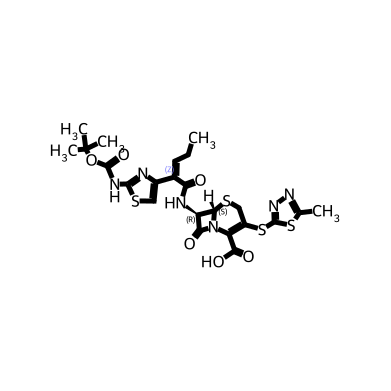 CC/C=C(\C(=O)N[C@@H]1C(=O)N2C(C(=O)O)=C(Sc3nnc(C)s3)CS[C@@H]12)c1csc(NC(=O)OC(C)(C)C)n1